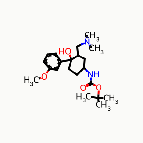 COc1cccc(C2(O)CCC(NC(=O)OC(C)(C)C)CC2CN(C)C)c1